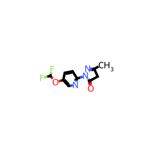 CC1=NN(c2ccc(OC(F)F)cn2)C(=O)C1